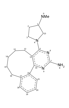 CNC1CCN(c2nc(N)nc3c2CCCCCc2ccccc2-3)C1